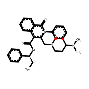 CC[C@H](NC(=O)c1c(CN2CCC(N(C)C)CC2)n(-c2ccccc2)c(=O)c2ccccc12)c1ccccc1